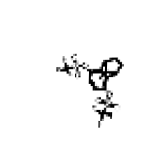 CC1C2CCC1c1c(OS(=O)(=O)C(F)(F)F)ccc(OS(=O)(=O)C(F)(F)F)c12